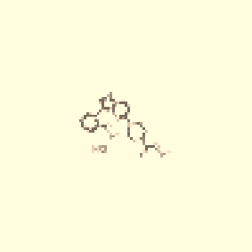 CC(C)OC(=O)N1CCN(c2ccc3ncc(-c4ccccc4OC(C)C)n3n2)CC1.Cl